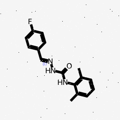 Cc1cccc(C)c1NC(=O)N/N=C/c1ccc(F)cc1